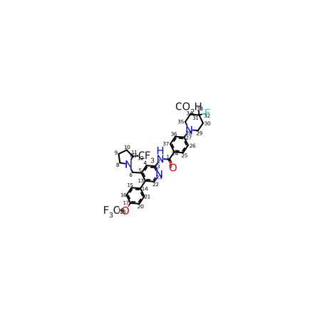 O=C(Nc1cc(CN2CCC[C@H]2C(F)(F)F)c(-c2ccc(OC(F)(F)F)cc2)cn1)c1ccc(N2CCC(F)(C(=O)O)CC2)cc1